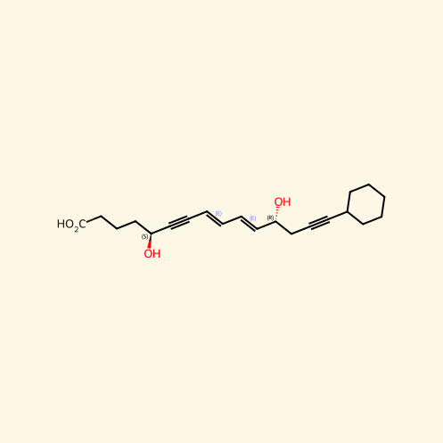 O=C(O)CCC[C@H](O)C#C/C=C/C=C/[C@H](O)CC#CC1CCCCC1